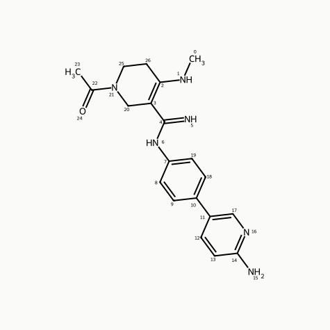 CNC1=C(C(=N)Nc2ccc(-c3ccc(N)nc3)cc2)CN(C(C)=O)CC1